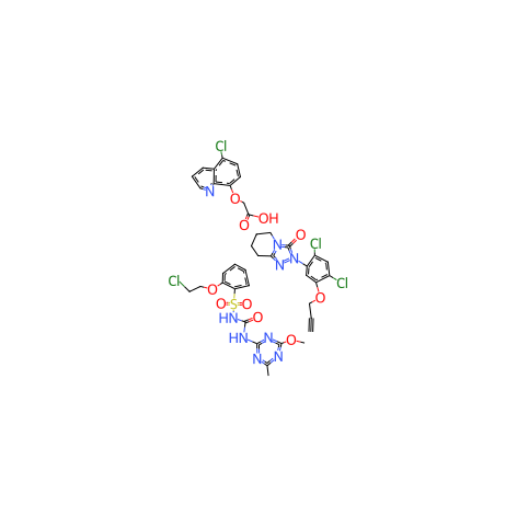 C#CCOc1cc(-n2nc3n(c2=O)CCCC3)c(Cl)cc1Cl.COc1nc(C)nc(NC(=O)NS(=O)(=O)c2ccccc2OCCCl)n1.O=C(O)COc1ccc(Cl)c2cccnc12